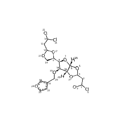 ClC(Cl)CC1O[C@H]2O[C@H]([C@H]3COC(CC(Cl)Cl)O3)[C@H](OCc3ccoc3)[C@H]2O1